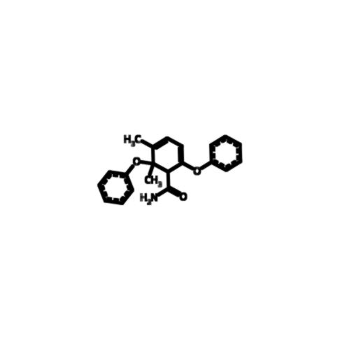 CC1=CC=C(Oc2ccccc2)C(C(N)=O)C1(C)Oc1ccccc1